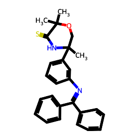 CC1(C)OCC(C)(c2cccc(N=C(c3ccccc3)c3ccccc3)c2)NC1=S